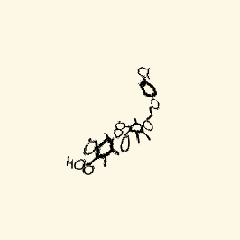 COc1c(C)c(OC(=O)c2c(C)c(C)c(OCCCOc3ccc(Cl)cc3)c(C)c2OC)c(C)c(C)c1C(=O)O